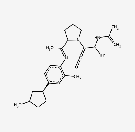 C=C(C)NC(C(=C=O)N1CCCC1/C(C)=N/c1ccc([C@H]2CCC(C)C2)cc1C)C(C)C